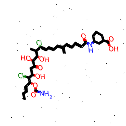 CC/C=C/C(OC(N)=O)C(Cl)C(O)CC(=O)C(O)C(O)C(C)/C(Cl)=C/C=C/C=C(C)/C=C/C=C/C(=O)NC1CCCC(C(=O)O)C1